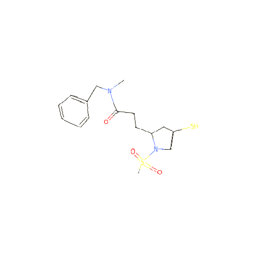 CN(Cc1ccccc1)C(=O)CCC1CC(S)CN1S(C)(=O)=O